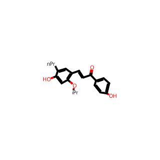 CCCc1cc(C=CC(=O)c2ccc(O)cc2)c(OC(C)C)cc1O